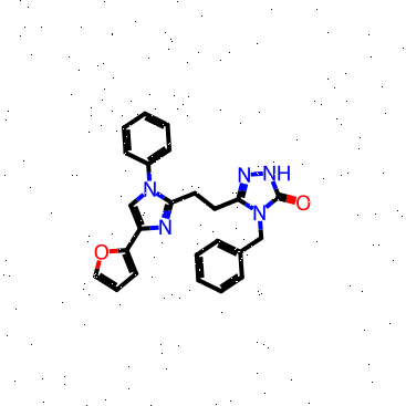 O=c1[nH]nc(CCc2nc(-c3ccco3)cn2-c2ccccc2)n1Cc1ccccc1